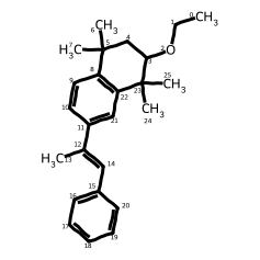 CCOC1CC(C)(C)c2ccc(C(C)=Cc3ccccc3)cc2C1(C)C